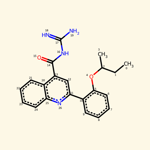 CCC(C)Oc1ccccc1-c1cc(C(=O)NC(=N)N)c2ccccc2n1